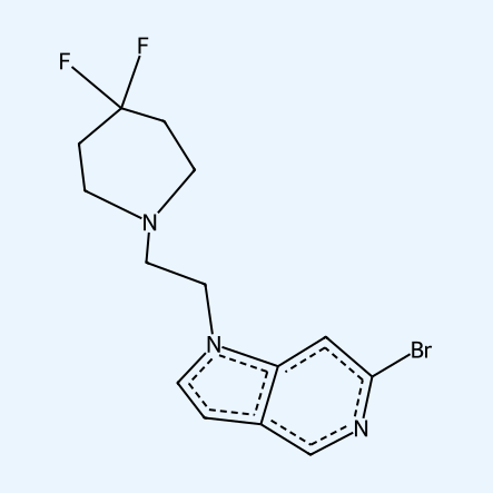 FC1(F)CCN(CCn2ccc3cnc(Br)cc32)CC1